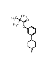 CC(C)(C)C(=O)Oc1cccc(C2CCNCC2)c1